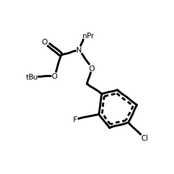 CCCN(OCc1ccc(Cl)cc1F)C(=O)OC(C)(C)C